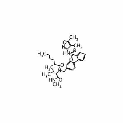 CCCCCC(=O)N(Cc1ccc(-c2ccccc2S(=O)(=O)Nc2noc(C)c2C)cc1)[C@H](C(=O)NC)C(C)C